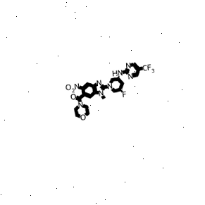 Cn1c(N2C[C@H](F)C[C@@H](Nc3ncc(C(F)(F)F)cn3)C2)nc2cc([N+](=O)[O-])c(C(=O)N3CCOCC3)cc21